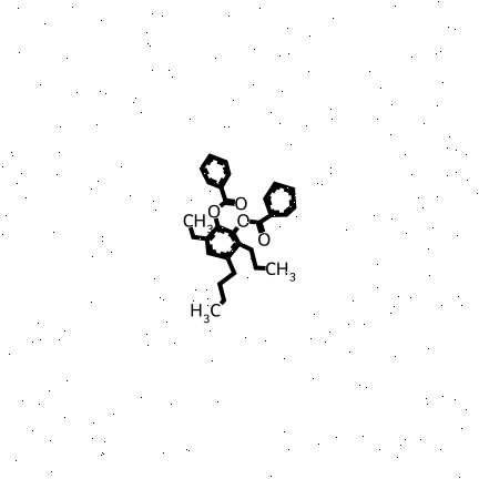 CCCCc1cc(CC)c(OC(=O)c2ccccc2)c(OC(=O)c2ccccc2)c1CCC